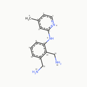 Cc1ccnc(Nc2cccc(CN)c2CN)c1